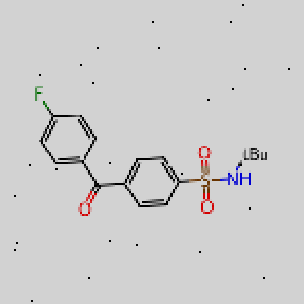 CC(C)(C)NS(=O)(=O)c1ccc(C(=O)c2ccc(F)cc2)cc1